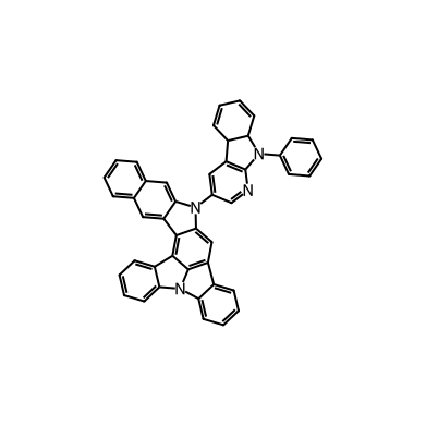 C1=CC2c3cc(-n4c5cc6ccccc6cc5c5c6c7ccccc7n7c8ccccc8c(cc54)c67)cnc3N(c3ccccc3)C2C=C1